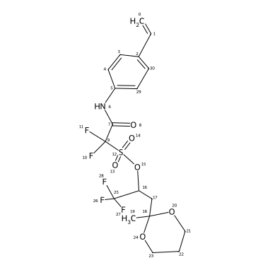 C=Cc1ccc(NC(=O)C(F)(F)S(=O)(=O)OC(CC2(C)OCCCO2)C(F)(F)F)cc1